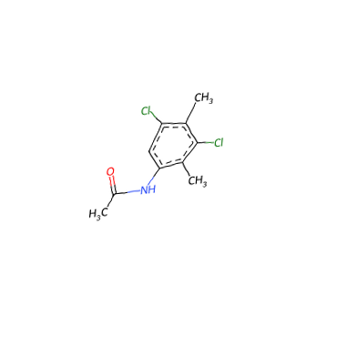 CC(=O)Nc1cc(Cl)c(C)c(Cl)c1C